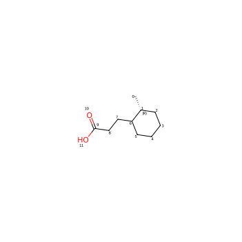 C[C@@H]1CCCCC1CCC(=O)O